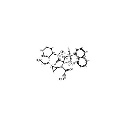 CCC(=O)N(C1C[C@@H]1C=NN)[C@@](NS(=O)(=O)c1cccc2ccccc12)(C(=O)O)C(=O)N(C)C1CCCNC1.Cl